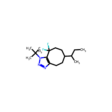 CCC(C)C1CCc2nnn(C(C)(C)C)c2C(F)(F)CC1